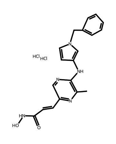 Cc1nc(C=CC(=O)NO)cnc1Nc1ccn(Cc2ccccc2)c1.Cl.Cl